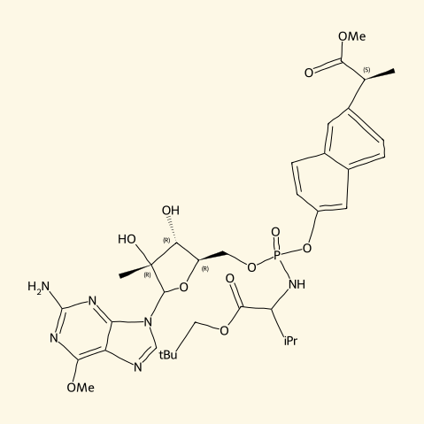 COC(=O)[C@@H](C)c1ccc2cc(OP(=O)(NC(C(=O)OCC(C)(C)C)C(C)C)OC[C@H]3OC(n4cnc5c(OC)nc(N)nc54)[C@](C)(O)[C@@H]3O)ccc2c1